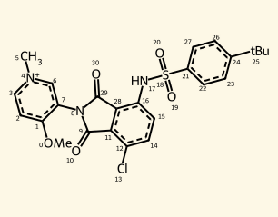 COc1cc[n+](C)cc1N1C(=O)c2c(Cl)ccc(NS(=O)(=O)c3ccc(C(C)(C)C)cc3)c2C1=O